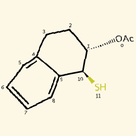 CC(=O)O[C@H]1CCc2ccccc2[C@@H]1S